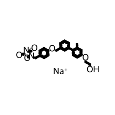 Cc1cc(OCCO)ccc1-c1cccc(COc2ccc(Cn3oc(=O)[n-]c3=O)cc2)c1.[Na+]